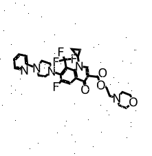 O=C(OCCN1CCOCC1)c1cn(C2CC2)c2c(C(F)(F)F)c(N3CCN(c4ccccn4)CC3)c(F)cc2c1=O